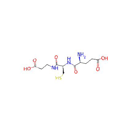 N[C@@H](CCC(=O)O)C(=O)N[C@@H](CS)C(=O)NCCC(=O)O